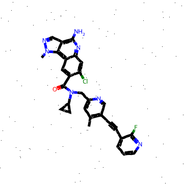 Cc1cc(CN(C(=O)c2cc3c(cc2Cl)nc(N)c2cnn(C)c23)C2CC2)ncc1C#Cc1cccnc1F